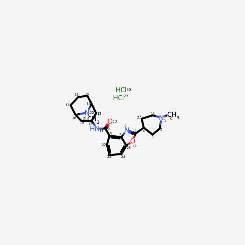 CN1CCC(c2nc3c(C(=O)NC4CC5CCCC(C4)N5C)cccc3o2)CC1.Cl.Cl